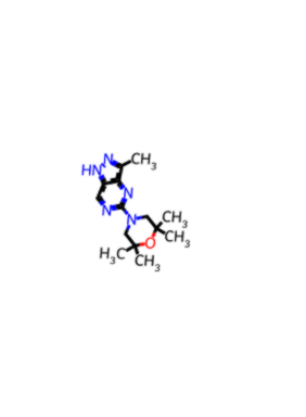 Cc1n[nH]c2cnc(N3CC(C)(C)OC(C)(C)C3)nc12